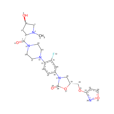 CN1C[C@H](O)C[C@H]1C(=O)N1CCN(c2ccc(N3C[C@H](COc4ccon4)OC3=O)cc2F)CC1